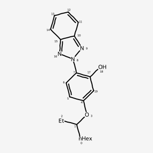 CCCCCCC(CC)Oc1ccc(-n2nc3ccccc3n2)c(O)c1